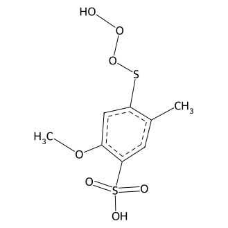 COc1cc(SOOO)c(C)cc1S(=O)(=O)O